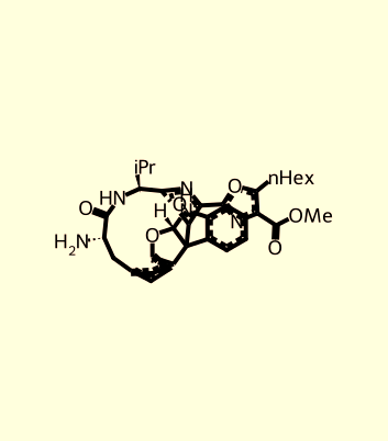 CCCCCCc1oc(-c2nc3oc2C24c5ccccc5N[C@H]2Oc2ccc(cc24)C[C@H](N)C(=O)N[C@H]3C(C)C)nc1C(=O)OC